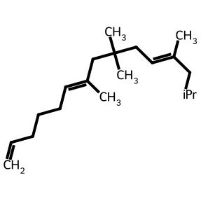 C=CCCC/C=C(\C)CC(C)(C)C/C=C(\C)CC(C)C